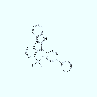 FC(F)(F)c1cccc2c1n(-c1ccc(-c3ccccc3)nc1)c1nc3ccccc3n21